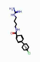 N=C(N)NCCC[CH]NC(=O)c1ccc(C23CCC(Cl)(CC2)CC3)cc1